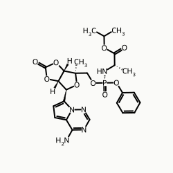 CC(C)OC(=O)[C@H](C)N[P@](=O)(OC[C@@]1(C)O[C@@H](c2ccc3c(N)ncnn23)[C@@H]2OC(=O)O[C@@H]21)Oc1ccccc1